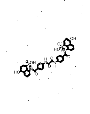 O=C(Nc1ccc(C(=O)Nc2cccc3c(O)ccc(S(=O)(=O)O)c23)cc1)C(=O)Nc1ccc(C(=O)Nc2cccc3c(O)ccc(S(=O)(=O)O)c23)cc1